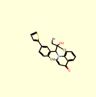 COc1ccc(-c2cccs2)cc1C(n1ccc(=O)c2ccccc21)C(O)(CC(C)C)C(F)(F)F